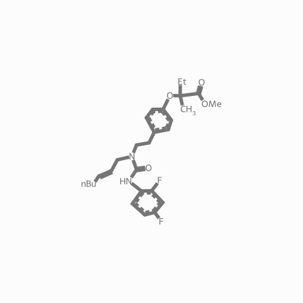 CCCC/C=C/CN(CCc1ccc(OC(C)(CC)C(=O)OC)cc1)C(=O)Nc1ccc(F)cc1F